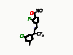 Cc1cc(Cl)cc(C(/C=C/c2ccc(C(=O)N=O)c(F)c2)C(F)(F)F)c1